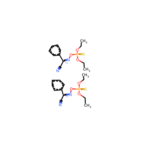 CCOP(=S)(OCC)O/N=C(/C#N)c1ccccc1.CCOP(=S)(OCC)O/N=C(/C#N)c1ccccc1